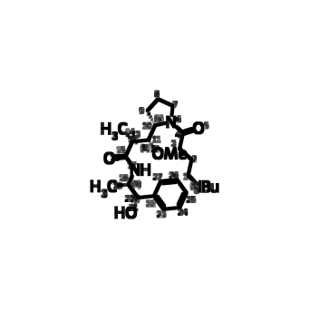 CC[C@H](C)CCCC(=O)N1CCC[C@H]1[C@H](OC)[C@@H](C)C(=O)N[C@H](C)[C@@H](O)c1ccccc1